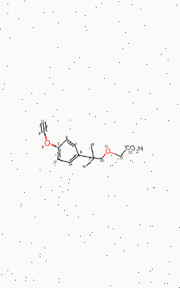 C#COc1ccc(C(C)(C)COCC(=O)O)cc1